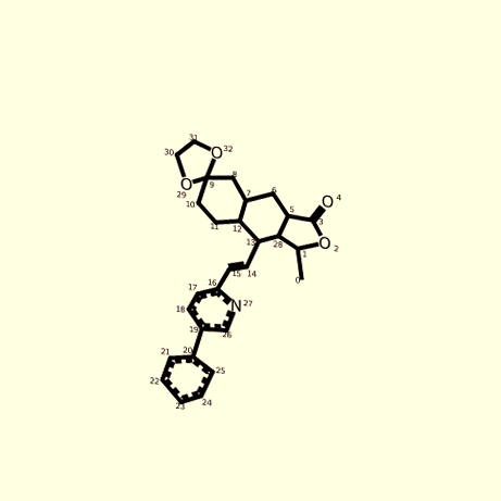 CC1OC(=O)C2CC3CC4(CCC3C(C=Cc3ccc(-c5ccccc5)cn3)C12)OCCO4